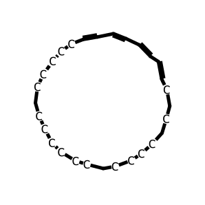 [C]1=C/C=C\C=C/C=C/CCCCCCCCCCCCCCCCCCCCC/1